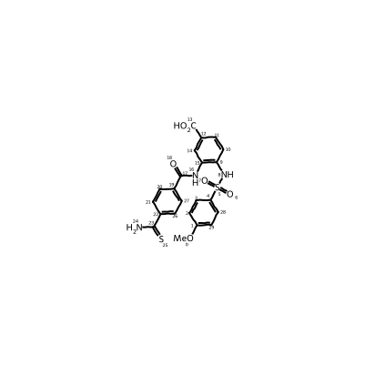 COc1ccc(S(=O)(=O)Nc2ccc(C(=O)O)cc2NC(=O)c2ccc(C(N)=S)cc2)cc1